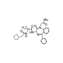 C[C@H](NC(=O)CC1CCCC1)C(=O)NC1N=C(c2ccccc2)c2ccccc2N(CC(=O)C(C)(C)C)C1=O